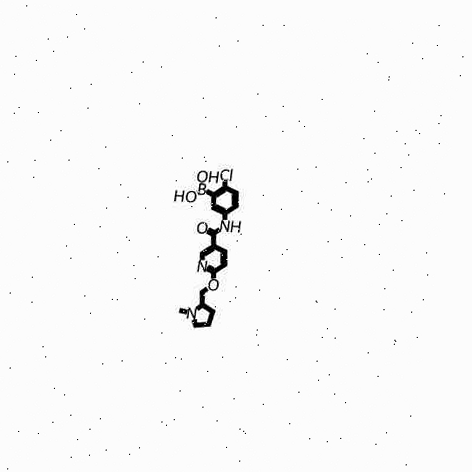 CN1CCCC1COc1ccc(C(=O)Nc2ccc(Cl)c(B(O)O)c2)cn1